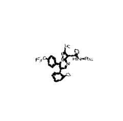 CC(=O)c1nn2c(-c3ccc(C(F)(F)F)cc3)c(-c3ccccc3Cl)cnc2c1C(=O)[NH][Ru]